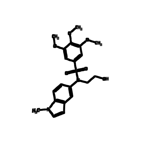 COc1cc(S(=O)(=O)N(CCO)c2ccc3c(ccn3C)c2)cc(OC)c1OC